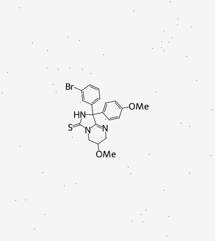 COc1ccc(C2(c3cccc(Br)c3)NC(=S)N3CC(OC)CN=C32)cc1